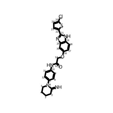 N=C1CCCCN1c1ccc(NC(=O)COc2ccc3[nH]c(-c4ccc(Cl)s4)nc3c2)cc1